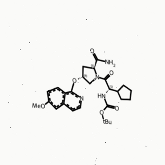 COc1ccc2c(O[C@@H]3C[C@@H](C(N)=O)N(C(=O)[C@@H](NC(=O)OC(C)(C)C)C4CCCC4)C3)nccc2c1